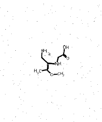 COC(C)C(CN)NCC(=O)O